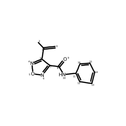 C=C(C)c1nonc1C(=O)Nc1ccccc1